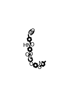 Cc1ccc(Oc2ccc(OC3CCN(C(=O)Oc4ccc(NC(=O)c5ccc(CN6CCOCC6)cc5)cc4)CC3)cc2)nc1